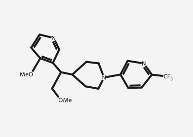 COCC(c1cnccc1OC)C1CCN(c2ccc(C(F)(F)F)nc2)CC1